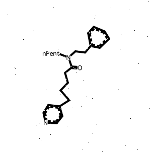 CCCCCN(CCc1ccccc1)C(=O)CCCCc1ccncc1